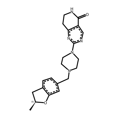 C[C@H]1Cc2ccc(CN3CCN(c4ncc5c(n4)CCNC5=O)CC3)cc2O1